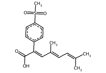 CC(C)=C/C=C(C)/C=C(/C(=O)O)c1ccc(S(C)(=O)=O)cc1